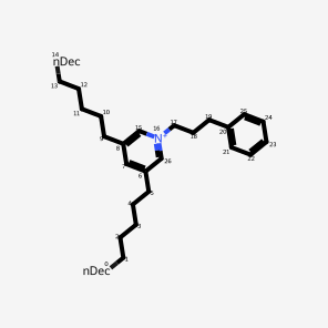 CCCCCCCCCCCCCCCc1cc(CCCCCCCCCCCCCCC)c[n+](CCCc2ccccc2)c1